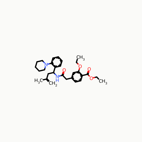 C=C(C)CC(NC(=O)Cc1ccc(C(=O)OCC)c(OCC)c1)c1ccccc1N1CCCCC1